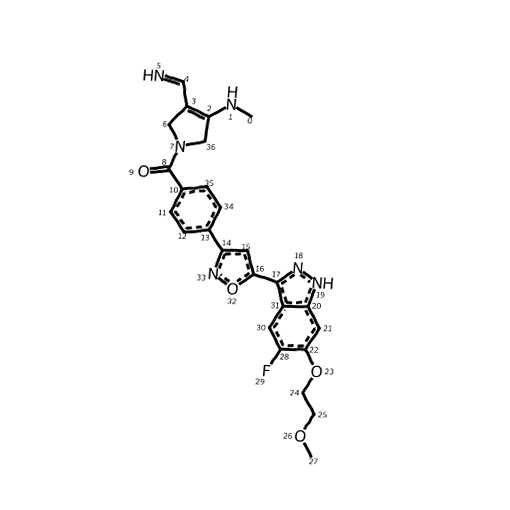 CNC1=C(C=N)CN(C(=O)c2ccc(-c3cc(-c4n[nH]c5cc(OCCOC)c(F)cc45)on3)cc2)C1